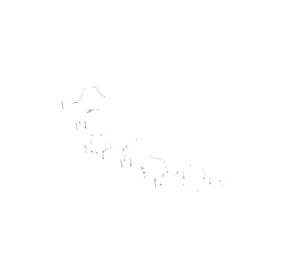 CC(=O)N1CCN(c2ccc(NC(=O)c3nnc(Nc4ccccc4F)o3)cn2)CC1